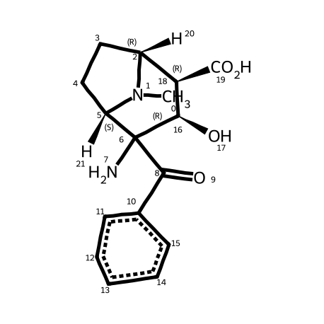 CN1[C@@H]2CC[C@H]1C(N)(C(=O)c1ccccc1)[C@H](O)[C@@H]2C(=O)O